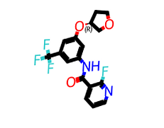 O=C(Nc1cc(O[C@@H]2CCOC2)cc(C(F)(F)F)c1)c1cccnc1F